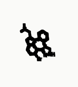 CN(C)Cc1cc2ccc(Br)c3c4n(c5ccccc5n1c23)CNN=4